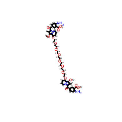 COC(=O)c1cc(C(=O)c2c(C)c(OC)c3c(OCCOCCOCCOCCOCCOCCOCCOc4cccn5c(C(=O)c6ccc(N)c(C(=O)OC)c6)c(C)c(OC)c45)cccn23)ccc1N